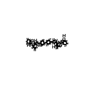 CC1([C@H](NC(=O)[C@]2(C)CCCC[C@@H]2O)c2ncc(-c3ccc(-c4ccc(-c5cnc([C@@H](NC(=O)[C@]6(C)CCCC[C@@H]6O)C6(C)CC6)[nH]5)cc4)cc3)[nH]2)CC1